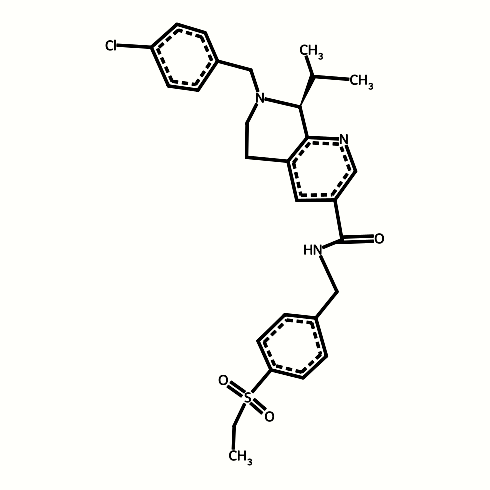 CCS(=O)(=O)c1ccc(CNC(=O)c2cnc3c(c2)CCN(Cc2ccc(Cl)cc2)[C@H]3C(C)C)cc1